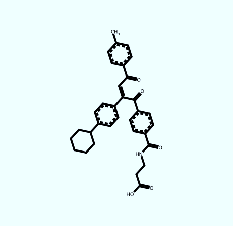 Cc1ccc(C(=O)/C=C(\C(=O)c2ccc(C(=O)NCCC(=O)O)cc2)c2ccc(C3CCCCC3)cc2)cc1